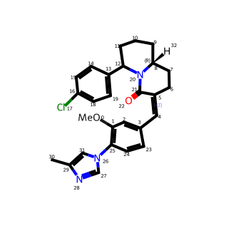 COc1cc(/C=C2/CC[C@H]3CCCC(c4ccc(Cl)cc4)N3C2=O)ccc1-n1cnc(C)c1